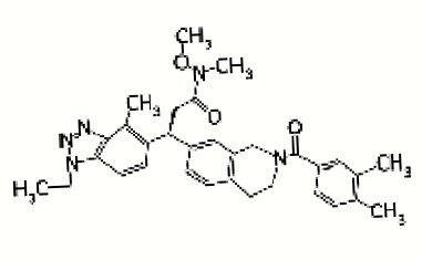 CCn1nnc2c(C)c([C@@H](CC(=O)N(C)OC)c3ccc4c(c3)CN(C(=O)c3ccc(C)c(C)c3)CC4)ccc21